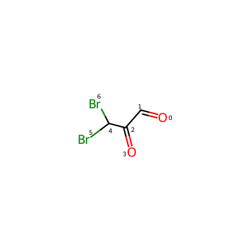 O=CC(=O)C(Br)Br